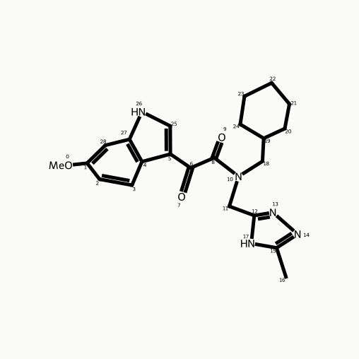 COc1ccc2c(C(=O)C(=O)N(Cc3nnc(C)[nH]3)CC3CCCCC3)c[nH]c2c1